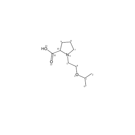 CC(C)OCCN1CCCC1C(=O)O